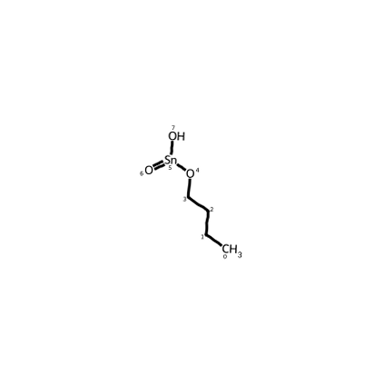 CCCC[O][Sn](=[O])[OH]